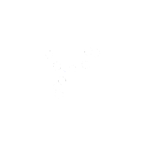 CC1(C)c2ccccc2-c2ccc(N(c3ccc(-c4cccc(-c5cccc6ccccc56)c4)cc3)c3ccc4c(ccc5ccccc54)c3)cc21